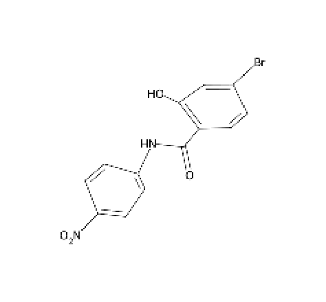 O=C(Nc1ccc([N+](=O)[O-])cc1)c1ccc(Br)cc1O